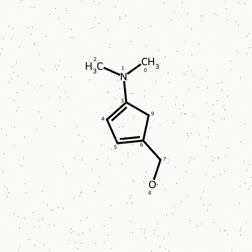 CN(C)C1=CC=C(C[O])C1